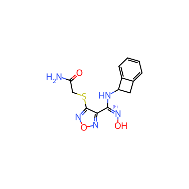 NC(=O)CSc1nonc1/C(=N\O)NC1Cc2ccccc21